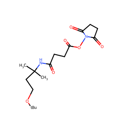 CC(C)(CCOC(C)(C)C)NC(=O)CCC(=O)ON1C(=O)CCC1=O